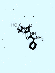 CC1(C)S[C@@H]2[C@H](NC(=O)[C@H](N)c3ccccc3)C(=O)N2C1C(=O)O